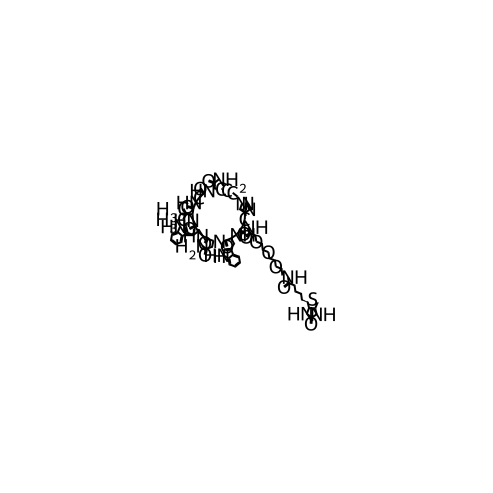 CC(C)C1NC(=O)C(Cc2c[nH]c3ccccc23)NC(=O)C(CC(N)=O)NC(=O)C(Cc2c[nH]c3ccccc23)NC(=O)C(NC(=O)COCCOCCOCCNC(=O)CCCC[C@H]2SCC3NC(=O)NC32)Cc2cn(nn2)CCCCC(C(N)=O)NC(=O)CNC1=O